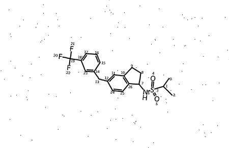 CC(C)S(=O)(=O)NC1CCc2cc(Cc3cccc(C(F)(F)F)c3)ccc21